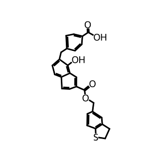 O=C(O)c1ccc(Cc2ccc3ccc(C(=O)OCc4ccc5c(c4)CCS5)cc3c2O)cc1